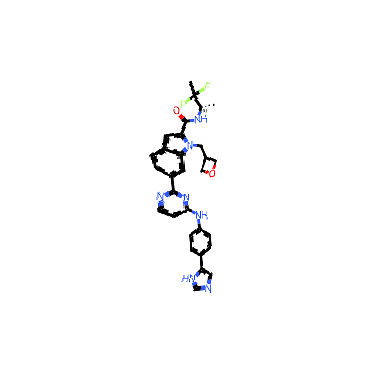 C[C@H](NC(=O)c1cc2ccc(-c3nccc(Nc4ccc(-c5cnc[nH]5)cc4)n3)cc2n1CC1COC1)C(C)(F)F